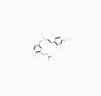 COc1cc(OC)c(C=CS(=O)(=O)Cc2ccc(OC)c(NCC(C)C(=O)O)c2)c(OC)c1